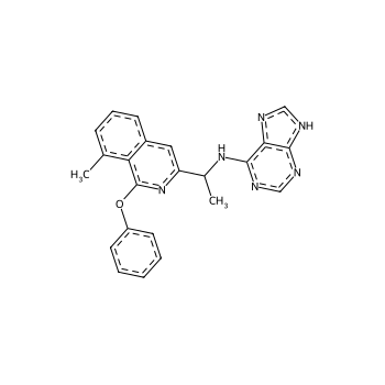 Cc1cccc2cc(C(C)Nc3ncnc4[nH]cnc34)nc(Oc3ccccc3)c12